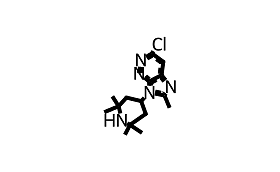 Cc1nc2cc(Cl)nnc2n1C1CC(C)(C)NC(C)(C)C1